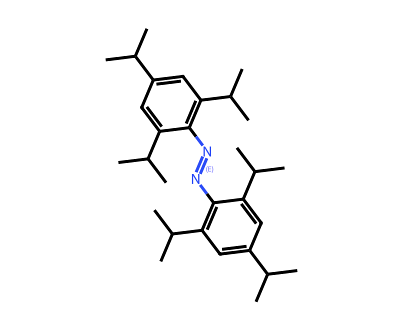 CC(C)c1cc(C(C)C)c(/N=N/c2c(C(C)C)cc(C(C)C)cc2C(C)C)c(C(C)C)c1